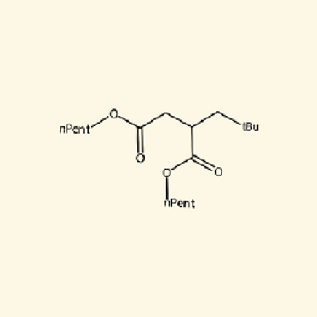 CCCCCOC(=O)CC(CC(C)(C)C)C(=O)OCCCCC